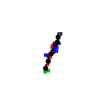 COC(=O)C(Cc1ccc(-c2ccc(C#N)cc2)cc1)NC(=O)C1Cc2cc3c(cc2CN1)OC(c1ccc(OCc2ccc(Cl)c(Cl)c2)cc1)CN3